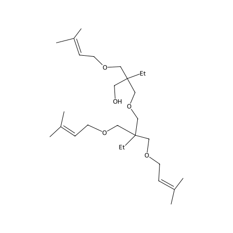 CCC(CO)(COCC=C(C)C)COCC(CC)(COCC=C(C)C)COCC=C(C)C